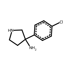 NC1(c2ccc(Cl)cc2)CCNC1